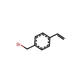 [CH]=Cc1ccc(CBr)cc1